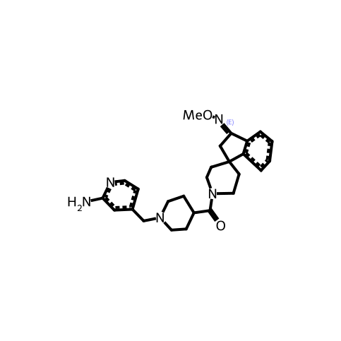 CO/N=C1\CC2(CCN(C(=O)C3CCN(Cc4ccnc(N)c4)CC3)CC2)c2ccccc21